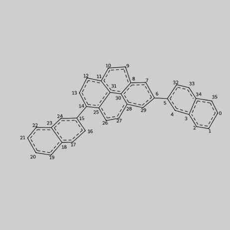 c1ccc2cc(-c3cc4ccc5ccc(-c6ccc7ccccc7c6)c6ccc(c3)c4c56)ccc2c1